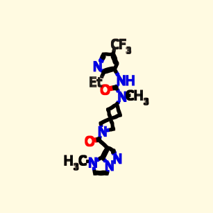 CCc1ncc(C(F)(F)F)cc1NC(=O)N(C)C1CC2(C1)CN(C(=O)c1cnn3ccn(C)c13)C2